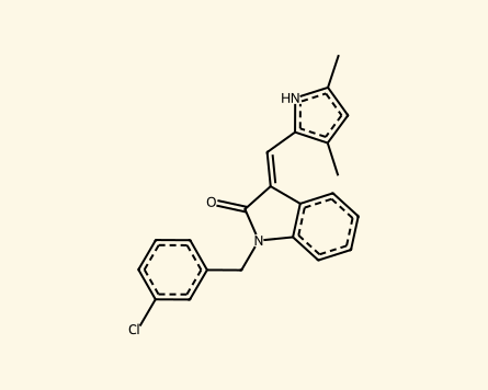 Cc1cc(C)c(C=C2C(=O)N(Cc3cccc(Cl)c3)c3ccccc32)[nH]1